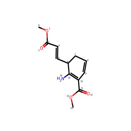 COC(=O)/C=C/C1CC=CC(C(=O)OC)=C1N